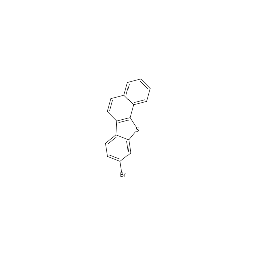 Brc1ccc2c(c1)sc1c3ccccc3ccc21